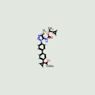 COC(=O)C1(c2ccc(-c3ccc(-n4nnc(C)c4NC(=O)OC(C)C4CC4)cc3)cc2)CC1